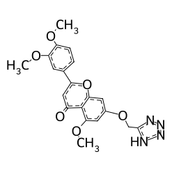 COc1ccc(-c2cc(=O)c3c(OC)cc(OCc4nnn[nH]4)cc3o2)cc1OC